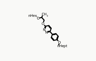 CCCCCCCOc1ccc(-c2ccc(OCC(C)OCCCCCC)nn2)cc1